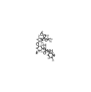 COC[C@H]1C[C@@H](Oc2cc(F)cc(NC(=O)Nc3ccc(C)nc3)c2)CN1C(=O)OC(C)(C)C